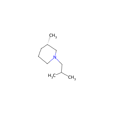 CC(C)CN1CCC[C@H](C)C1